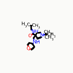 CC(C)CNC(=O)C1(CNC2CCOCC2)CCN(C(C)(C)C)CC1